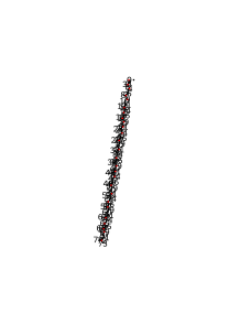 [CH2]/C=C(\C)CC/C=C(\C)CC/C=C(\C)CC/C=C(\C)CC/C=C(\C)CC/C=C(\C)CC/C=C(\C)CC/C=C(\C)CC/C=C(\C)CC/C=C(\C)CC/C=C(\C)CC/C=C(\C)CC/C=C(\C)CC/C=C(\C)CCC=C(C)C